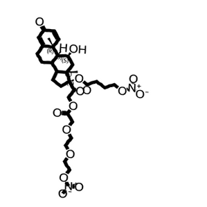 C[C@]12C=CC(=O)C=C1CCC1C3CC[C@](OC(=O)CCCO[N+](=O)[O-])(C(=O)COC(=O)COCCOCCO[N+](=O)[O-])[C@@]3(C)C[C@H](O)[C@@H]12